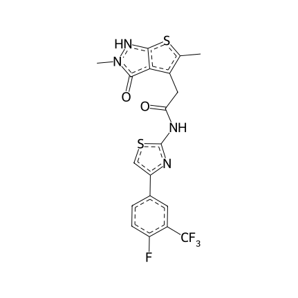 Cc1sc2[nH]n(C)c(=O)c2c1CC(=O)Nc1nc(-c2ccc(F)c(C(F)(F)F)c2)cs1